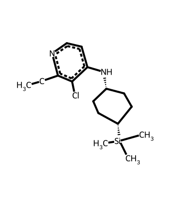 CCc1nccc(N[C@H]2CC[C@@H]([Si](C)(C)C)CC2)c1Cl